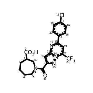 O=C(O)C1CCCCN(C(=O)c2cc3nc(-c4ccc(Cl)cc4)cc(C(F)(F)F)n3n2)C1